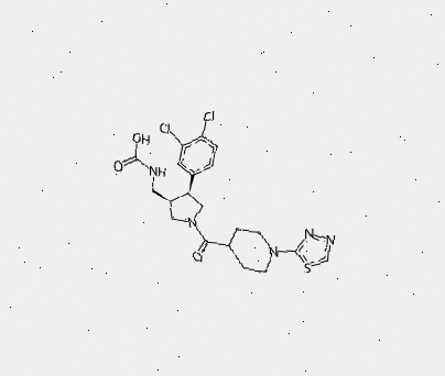 O=C(O)NC[C@@H]1CN(C(=O)C2CCN(c3nncs3)CC2)C[C@@H]1c1ccc(Cl)c(Cl)c1